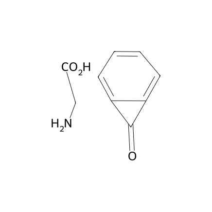 NCC(=O)O.O=c1c2ccccc12